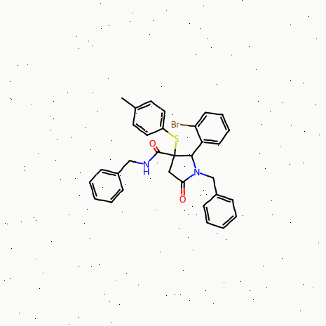 Cc1ccc(SC2(C(=O)NCc3ccccc3)CC(=O)N(Cc3ccccc3)C2c2ccccc2Br)cc1